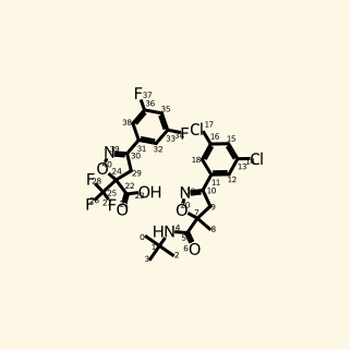 CC(C)(C)NC(=O)C1(C)CC(c2cc(Cl)cc(Cl)c2)=NO1.O=C(O)C1(C(F)(F)F)CC(c2cc(F)cc(F)c2)=NO1